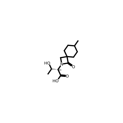 CC1CCC2(CC1)CN([C@H](C(=O)O)C(C)O)C2=O